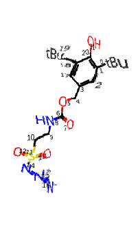 CC(C)(C)c1cc(COC(=O)NCCS(=O)(=O)N=[N+]=[N-])cc(C(C)(C)C)c1O